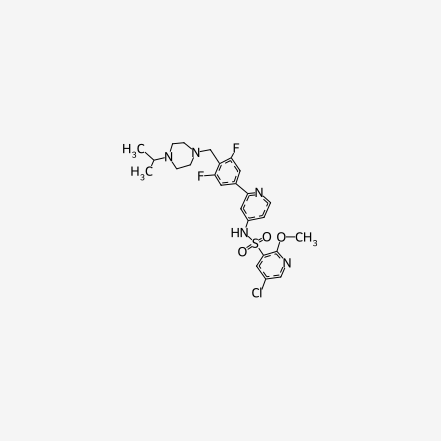 COc1ncc(Cl)cc1S(=O)(=O)Nc1ccnc(-c2cc(F)c(CN3CCN(C(C)C)CC3)c(F)c2)c1